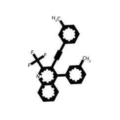 Cc1cccc(C#Cc2c(C(F)(F)F)nc3ccccc3c2-c2cccc(C)c2)c1